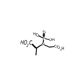 CC(C(=O)O)N(CC(=O)O)P(=O)(O)O